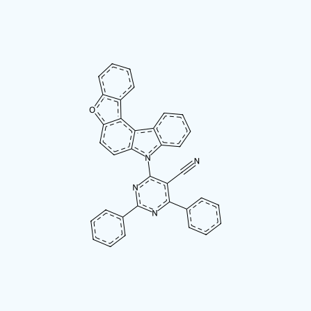 N#Cc1c(-c2ccccc2)nc(-c2ccccc2)nc1-n1c2ccccc2c2c3c(ccc21)oc1ccccc13